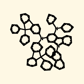 c1ccc(N(c2ccccc2)c2cc(N(c3ccc4c(c3)C(c3ccccc3)(c3ccccc3)c3ccccc3-4)c3ccc4c(c3)C(c3ccccc3)(c3ccccc3)c3ccccc3-4)cc3c2c2ccccc2n3-c2ccc3ccccc3c2)cc1